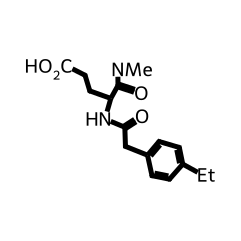 CCc1ccc(CC(=O)NC(CCC(=O)O)C(=O)NC)cc1